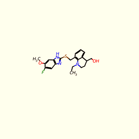 CCN1CCC(CO)c2cccc(CSc3nc4cc(F)c(OC)cc4[nH]3)c21